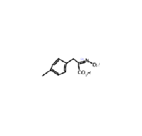 Cc1ccc(C/C(=N/O)C(=O)O)cc1